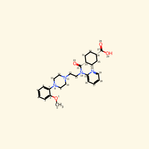 COc1ccccc1N1CCN(CCN(c2ccccn2)C(=O)[C@H]2CC[C@@H](C(=O)O)CC2)CC1